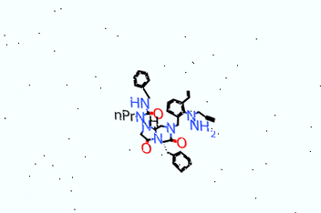 C#CCN(N)c1c(C=C)cccc1CN1C[C@H]2N(C(=O)CN2N(CCC)C(=O)NCc2ccccc2)[C@@H](Cc2ccccc2)C1=O